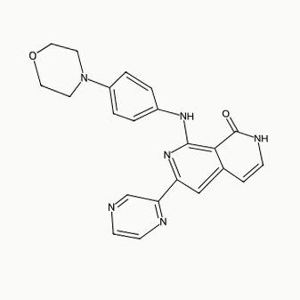 O=c1[nH]ccc2cc(-c3cnccn3)nc(Nc3ccc(N4CCOCC4)cc3)c12